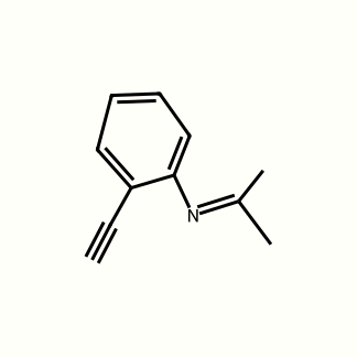 C#Cc1ccccc1N=C(C)C